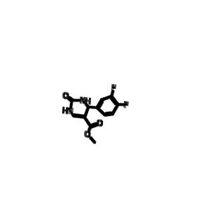 COC(=O)C1=CNC(=O)NC1c1ccc(F)c(F)c1